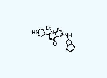 CCn1c(C2CCNCC2)cc(=O)c2cc(NC3Cc4ccccc4C3)cnc21